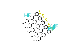 CC[C@H]1CC[C@H](C2CCC(c3ccc([S])cc3)CC2)CC1.CC[C@H]1CC[C@H](C2CCC(c3ccc([S])cc3)CC2)CC1.CC[C@H]1CC[C@H](C2CCC(c3ccc([S])cc3)CC2)CC1.CC[C@H]1CC[C@H](C2CCC(c3ccc([S])cc3)CC2)CC1.CC[C@H]1CC[C@H](C2CCC(c3ccc([S])cc3)CC2)CC1.F.F.F.F.F